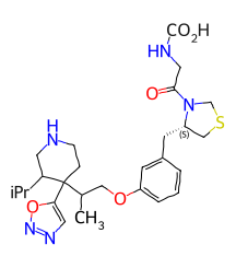 CC(C)C1CNCCC1(c1cnno1)C(C)COc1cccc(C[C@H]2CSCN2C(=O)CNC(=O)O)c1